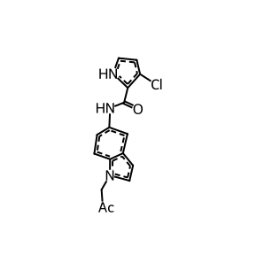 CC(=O)Cn1ccc2cc(NC(=O)c3[nH]ccc3Cl)ccc21